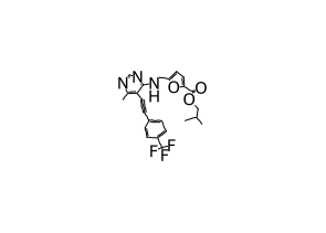 Cc1ncnc(NCc2ccc(C(=O)OCC(C)C)o2)c1C#Cc1ccc(C(F)(F)F)cc1